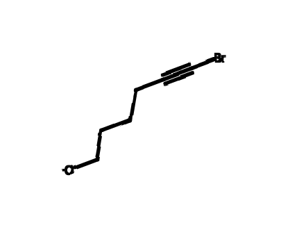 [O]CCCCC#CBr